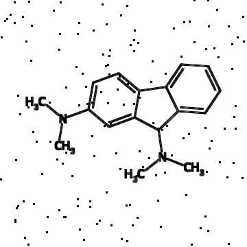 CN(C)c1ccc2c(c1)C(N(C)C)c1ccccc1-2